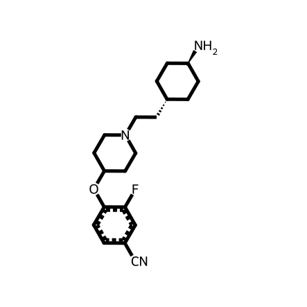 N#Cc1ccc(OC2CCN(CC[C@H]3CC[C@H](N)CC3)CC2)c(F)c1